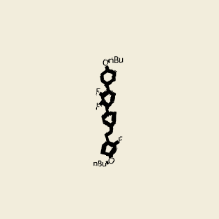 CCCCOc1ccc(CCc2ccc(-c3ccc(C4CCC(OCCCC)CC4)c(F)c3F)cc2)c(F)c1